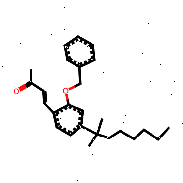 CCCCCCC(C)(C)c1ccc(C=CC(C)=O)c(OCc2ccccc2)c1